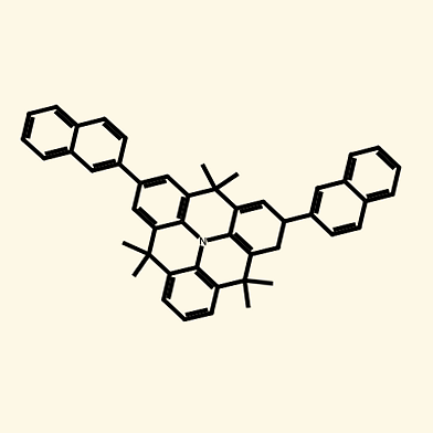 CC1(C)C2=CC(c3ccc4ccccc4c3)CC3=C2N2c4c1cc(-c1ccc5ccccc5c1)cc4C(C)(C)c1cccc(c12)C3(C)C